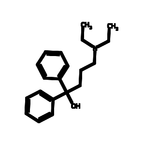 CCN(CC)CCCC(O)(c1ccccc1)c1ccccc1